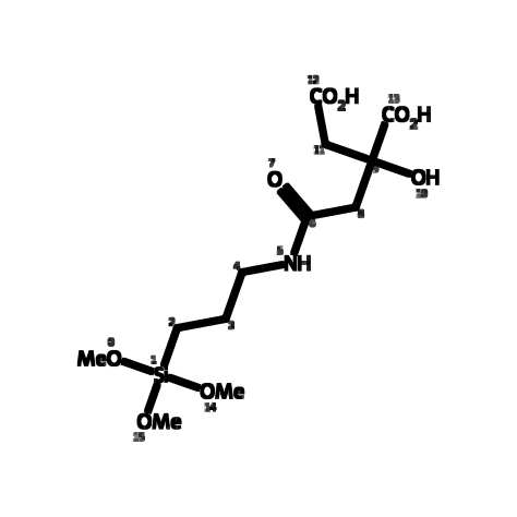 CO[Si](CCCNC(=O)CC(O)(CC(=O)O)C(=O)O)(OC)OC